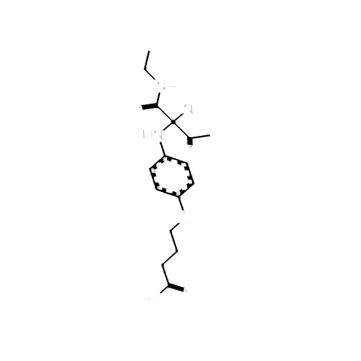 CCNC(=O)C(N)(Nc1ccc(OCCCC(=O)O)cc1)C(C)=O